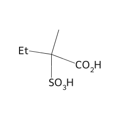 [CH2]CC(C)(C(=O)O)S(=O)(=O)O